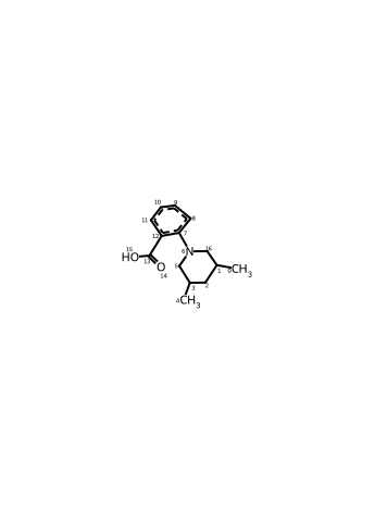 CC1CC(C)CN(c2ccccc2C(=O)O)C1